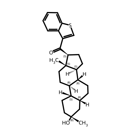 C[C@@]1(O)CC[C@H]2[C@H](CC[C@@H]3[C@@H]2CC[C@]2(C)[C@@H](C(=O)c4csc5ccccc45)CC[C@@H]32)C1